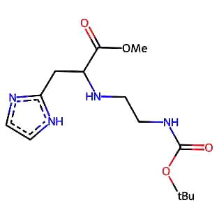 COC(=O)C(Cc1ncc[nH]1)NCCNC(=O)OC(C)(C)C